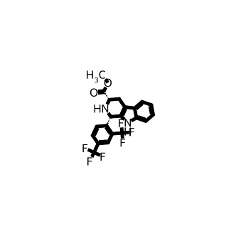 COC(=O)[C@@H]1Cc2c([nH]c3ccccc23)[C@H](c2ccc(C(F)(F)F)cc2C(F)(F)F)N1